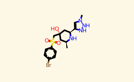 C[C@H]1C[C@@](O)(CS(=O)(=O)c2ccc(Br)cc2)C[C@@H](C2=CN(C)NN2)N1